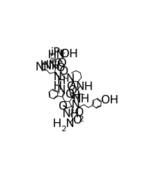 CC(C)C[C@@H](NC(=O)C(Cc1cnc[nH]1)NC(=O)CN1CCCCC(NC(=O)C(C)NC(=O)C(Cc2c[nH]c3ccccc23)C(CCC(N)=O)(NC(=O)CCc2ccc(O)cc2)C(N)=O)C1=O)C(=O)NO